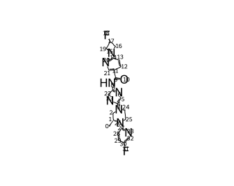 C[C@H]1CN(c2cnc(NC(=O)c3ccc(N4CC(F)C4)nc3)cn2)CCN1c1ccc(F)cn1